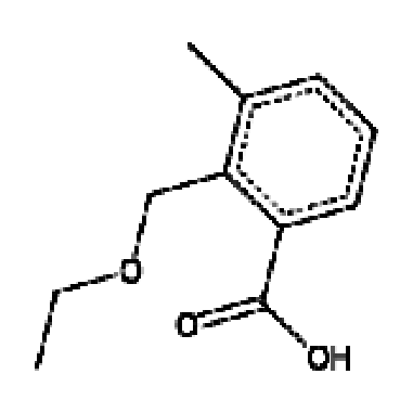 CCOCc1c(C)cccc1C(=O)O